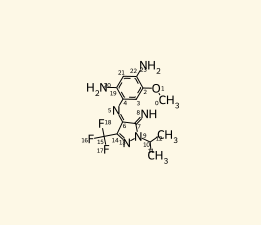 COc1cc(N=C2C(=N)N(C(C)C)N=C2C(F)(F)F)c(N)cc1N